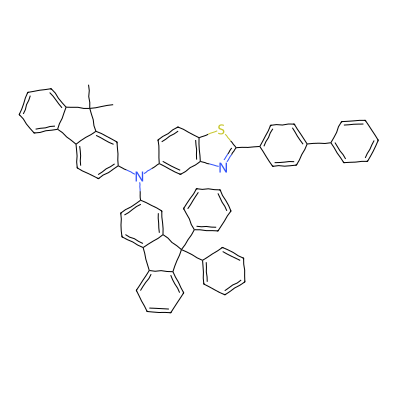 CC1(C)c2ccccc2-c2ccc(N(c3ccc4c(c3)C(c3ccccc3)(c3ccccc3)c3ccccc3-4)c3ccc4sc(-c5ccc(-c6ccccc6)cc5)nc4c3)cc21